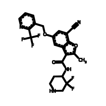 Cc1oc2c(C#N)cc(OCc3cccnc3C(F)(F)F)cc2c1C(=O)NC1CCNCC1(F)F